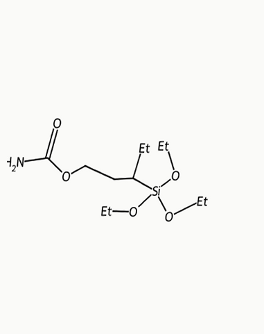 CCO[Si](OCC)(OCC)C(CC)CCOC(N)=O